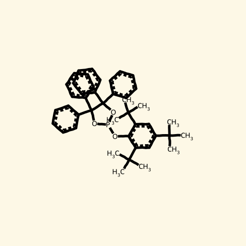 CC(C)(C)c1cc(C(C)(C)C)c(OP2OC(c3ccccc3)(c3ccccc3)C(c3ccccc3)(c3ccccc3)O2)c(C(C)(C)C)c1